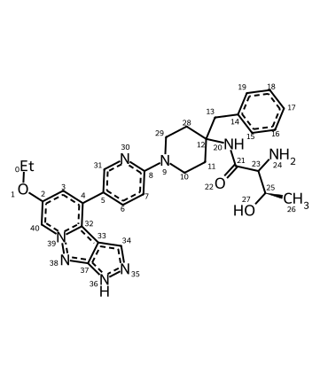 CCOc1cc(-c2ccc(N3CCC(Cc4ccccc4)(NC(=O)C(N)[C@@H](C)O)CC3)nc2)c2c3cn[nH]c3nn2c1